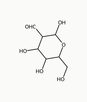 O=CC1C(O)OC(CO)C(O)C1O